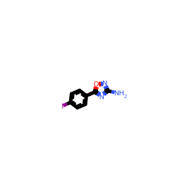 Nc1noc(-c2ccc(I)cc2)n1